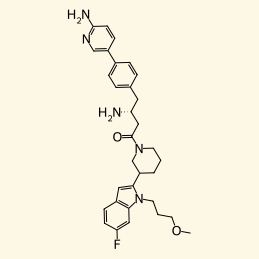 COCCCn1c(C2CCCN(C(=O)C[C@H](N)Cc3ccc(-c4ccc(N)nc4)cc3)C2)cc2ccc(F)cc21